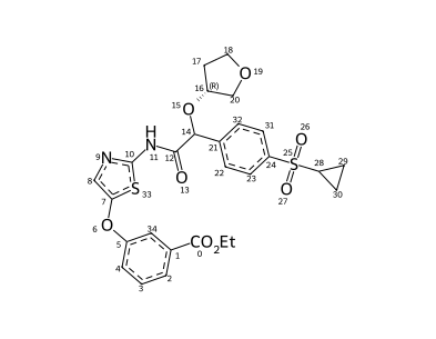 CCOC(=O)c1cccc(Oc2cnc(NC(=O)C(O[C@@H]3CCOC3)c3ccc(S(=O)(=O)C4CC4)cc3)s2)c1